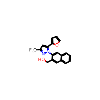 OCc1cc2ccccc2cc1-n1nc(C(F)(F)F)cc1-c1ccco1